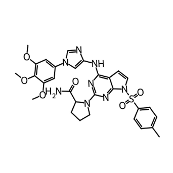 COc1cc(-n2cnc(Nc3nc(N4CCCC4C(N)=O)nc4c3ccn4S(=O)(=O)c3ccc(C)cc3)c2)cc(OC)c1OC